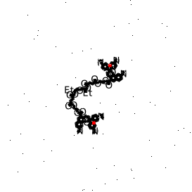 CCC(COCC(CC)OC(=O)CCC(=O)OCCOC(=O)c1cc2ccc(N(C)C)cc2c2c1C=CC(c1ccc(N(C)C)cc1)(c1ccc(N(C)C)cc1)O2)OC(=O)CCC(=O)OCCOC(=O)c1cc2ccc(N(C)C)cc2c2c1C=CC(c1ccc(N(C)C)cc1)(c1ccc(N(C)C)cc1)O2